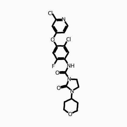 O=C(Nc1cc(Cl)c(Oc2ccnc(Cl)c2)cc1F)N1CCN(C2CCOCC2)C1=O